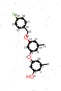 Cc1cc(O)cc(Oc2cc(C)cc(OCc3ccc(F)cc3)c2)c1